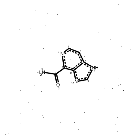 NC(=O)c1nccc2[nH]cnc12